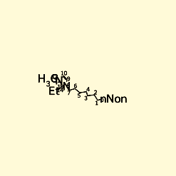 CCCCCCCCCCCCCCCCN1C=CN(C)C1CC